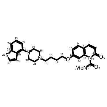 CNC(=O)n1c(=O)ccc2ccc(OCCCCN3CCN(c4cccc5sccc45)CC3)cc21